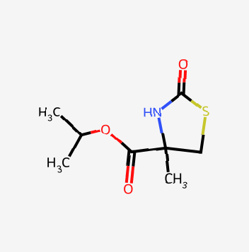 CC(C)OC(=O)C1(C)CSC(=O)N1